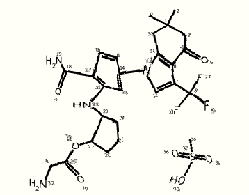 CC1(C)CC(=O)c2c(C(F)(F)F)cn(-c3ccc(C(N)=O)c(NC4CCCC4OC(=O)CN)c3)c2C1.CS(=O)(=O)O